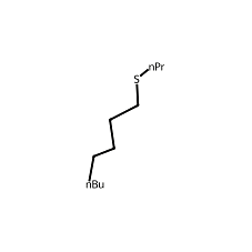 [CH2]CCCCCCCSCCC